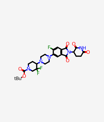 CC(C)(C)OC(=O)N1CCC(N2CCN(c3cc4c(cc3F)C(=O)N(C3CCC(=O)NC3=O)C4=O)CC2)C(F)(F)C1